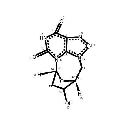 O=c1[nH]c(=O)n2c3c1nnn3C[C@H]1O[C@@H]2CC1O